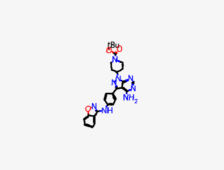 CC(C)(C)OC(=O)N1CCC(n2nc(-c3ccc(Nc4noc5ccccc45)cc3)c3c(N)ncnc32)CC1